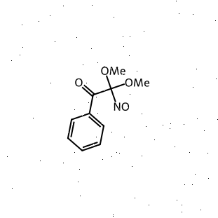 COC(N=O)(OC)C(=O)c1ccccc1